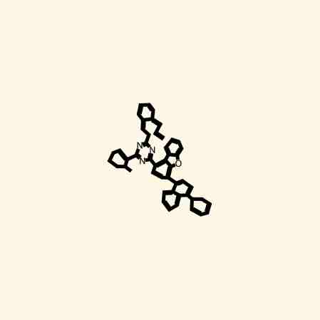 C=C/C=c1/cccc/c1=C/Cc1nc(C2=CCCCC2C)nc(-c2ccc(-c3ccc(C4C=CC=CC4)c4ccccc34)c3oc4ccccc4c23)n1